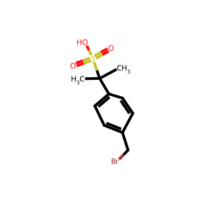 CC(C)(c1ccc(CBr)cc1)S(=O)(=O)O